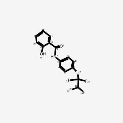 O=C(Nc1ccc(OC(F)(F)C(F)F)cc1)c1ccccc1O